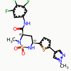 CN1[C@@H](C(=O)Nc2cc(F)c(F)c(F)c2)C[C@@H](c2ccc(-c3cnn(C)c3)s2)NS1(=O)=O